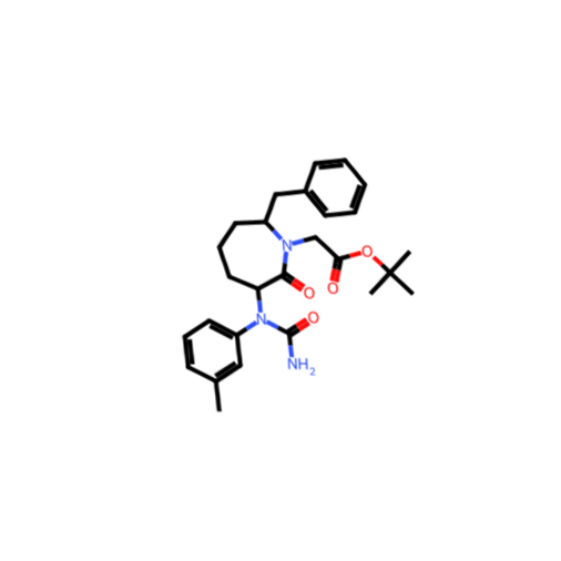 Cc1cccc(N(C(N)=O)C2CCCC(Cc3ccccc3)N(CC(=O)OC(C)(C)C)C2=O)c1